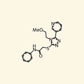 COCCn1c(SCC(=O)Nc2ccccc2)nnc1-c1cccnc1